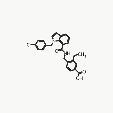 CCc1cc(C(=O)O)ccc1CNC(=O)c1cccc2ccn(Cc3ccc(Cl)cc3)c12